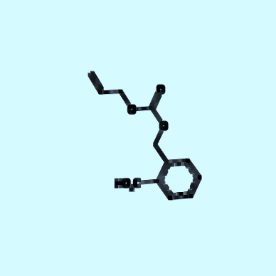 C=CCOC(=O)OCc1ccccc1C(=O)O